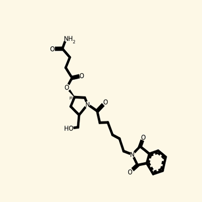 NC(=O)CCC(=O)O[C@@H]1CC(CO)N(C(=O)CCCCCN2C(=O)c3ccccc3C2=O)C1